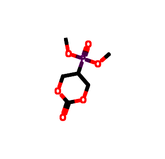 COP(=O)(OC)C1COC(=O)OC1